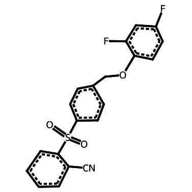 N#Cc1ccccc1S(=O)(=O)c1ccc(COc2ccc(F)cc2F)cc1